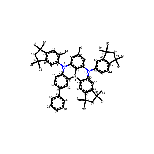 Cc1cc2c3c(c1)N(c1cc4c(cc1C)C(C)(C)CC4(C)C)c1ccc(-c4ccccc4)cc1B3c1cc3c(cc1N2c1ccc2c(c1)C(C)(C)CC2(C)C)C(C)(C)CC3(C)C